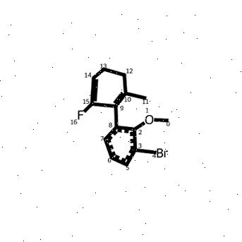 COc1c(Br)cccc1C1=C(C)CCC=C1F